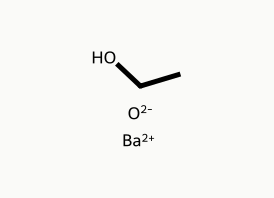 CCO.[Ba+2].[O-2]